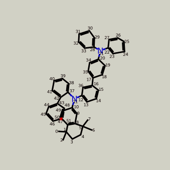 CC1(C)CCC(C)(C)c2cc(N(c3cccc(-c4ccc(N(c5ccccc5)c5ccccc5)cc4)c3)c3ccccc3-c3ccccc3)ccc21